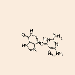 Nc1nc2[nH]cnc2c(=O)[nH]1.O=c1[nH]cnc2nc[nH]c12